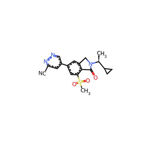 C[C@@H](C1CC1)N1Cc2cc(-c3cnnc(C#N)c3)cc(S(C)(=O)=O)c2C1=O